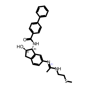 CSCCN/C(C)=N/c1ccc2c(c1)[C@@H](NC(=O)c1ccc(-c3ccccc3)cc1)[C@H](O)C2